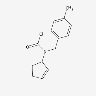 Cc1ccc(CN(C(=O)Cl)C2C=CCC2)cc1